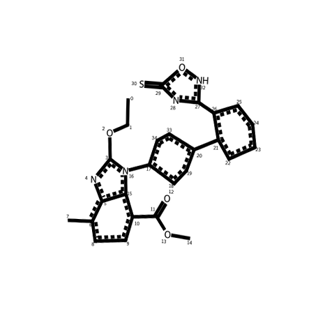 CCOc1nc2c(C)ccc(C(=O)OC)c2n1-c1ccc(-c2ccccc2-c2nc(=S)o[nH]2)cc1